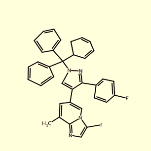 Cc1cc(-c2cn(C(c3ccccc3)(c3ccccc3)C3C=CC=CC3)nc2-c2ccc(F)cc2)cn2c(I)cnc12